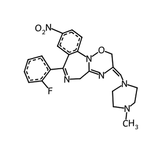 CN1CCN(/C=C2/CON3C(=N2)CN=C(c2ccccc2F)c2cc([N+](=O)[O-])ccc23)CC1